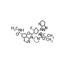 CNC(=O)c1ccc2c(N(C(=O)c3ccc(-n4nnc5cccnc54)cc3F)[C@@H]3CCCN(C(=O)OC(C)(C)C)C3)nccc2c1